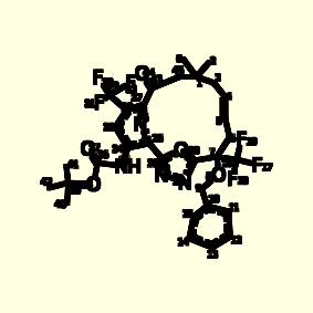 CC1(C)C/C=C/CC(OCc2ccccc2)(C(F)(F)F)c2nnc(o2)-c2nc(c(C(F)(F)F)cc2NC(=O)OC(C)(C)C)C(=O)C1